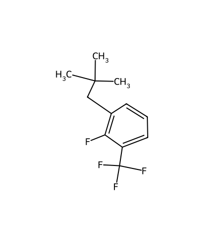 CC(C)(C)Cc1cccc(C(F)(F)F)c1F